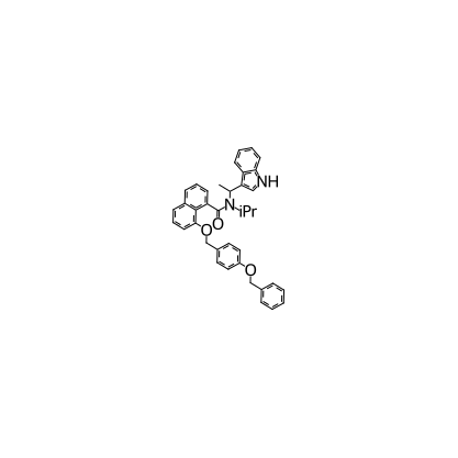 CC(C)N(C(=O)c1cccc2cccc(OCc3ccc(OCc4ccccc4)cc3)c12)C(C)c1c[nH]c2ccccc12